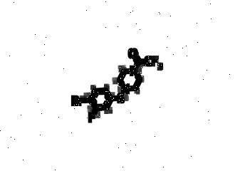 O=C(N1CCN(Sc2ccc(Br)c(F)c2)CC1)C(F)(F)F